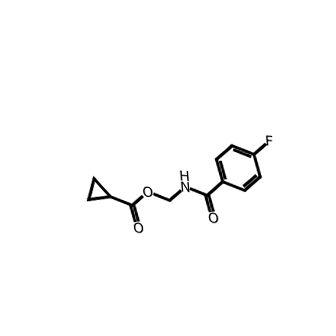 O=C(NCOC(=O)C1CC1)c1ccc(F)cc1